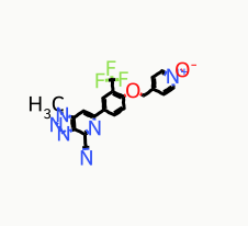 Cn1nnc2c(C#N)nc(-c3ccc(OCc4cc[n+]([O-])cc4)c(C(F)(F)F)c3)cc21